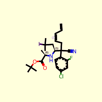 C=C/C=C\CC(C#N)(c1ccc(Cl)cc1F)[C@H](CC(C)(C)I)N[C@H](C)C(=O)OC(C)(C)C